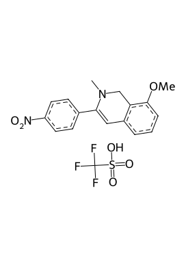 COc1cccc2c1CN(C)C(c1ccc([N+](=O)[O-])cc1)=C2.O=S(=O)(O)C(F)(F)F